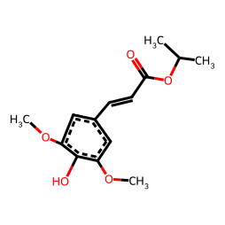 COc1cc(/C=C/C(=O)OC(C)C)cc(OC)c1O